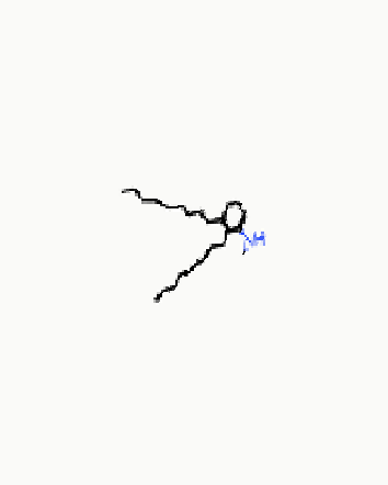 CCCCCCCCCc1cccc(NC)c1CCCCCCCCC